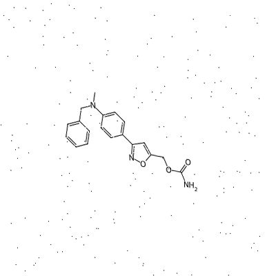 CN(Cc1ccccc1)c1ccc(-c2cc(COC(N)=O)on2)cc1